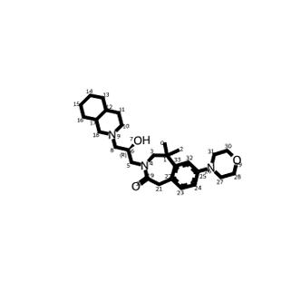 CC1(C)CN(C[C@H](O)CN2CCC3CCCCC3C2)C(=O)Cc2ccc(N3CCOCC3)cc21